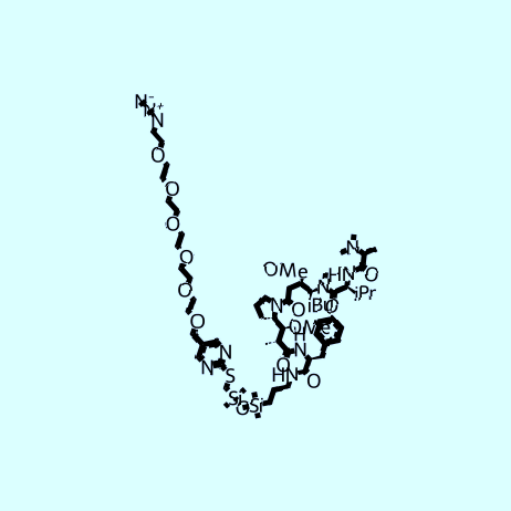 CC[C@H](C)[C@@H]([C@@H](CC(=O)N1CCC[C@H]1[C@H](OC)[C@@H](C)C(=O)N[C@@H](Cc1ccccc1)C(=O)NCCC[Si](C)(C)O[Si](C)(C)CSc1ncc(COCCOCCOCCOCCOCCOCCN=[N+]=[N-])cn1)OC)N(C)C(=O)[C@@H](NC(=O)C(C)N(C)C)C(C)C